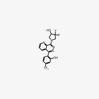 Oc1cc(C(F)(F)F)ccc1-c1nnc(N2CC(O)C(F)(F)C2)c2ncccc12